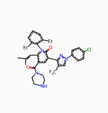 CCc1cccc(CC)c1-n1c(C=C(C)C)c(C(=O)N2CCNCC2)cc(-c2nn(-c3ccc(Cl)cc3)cc2C(F)(F)F)c1=O